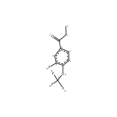 CCC(=O)c1ccc(OC(F)(F)F)c(F)c1